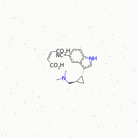 CN(C)C[C@@H]1C[C@H]1c1c[nH]c2ccc(C#N)cc12.O=C(O)/C=C\C(=O)O